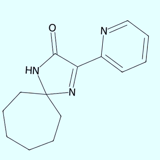 O=C1NC2(CCCCCC2)N=C1c1ccccn1